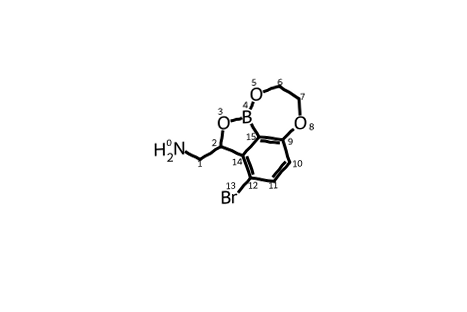 NCC1OB2OCCOc3ccc(Br)c1c32